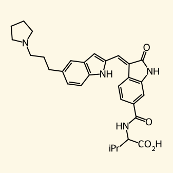 CC(C)C(NC(=O)c1ccc2c(c1)NC(=O)/C2=C/c1cc2cc(CCCN3CCCC3)ccc2[nH]1)C(=O)O